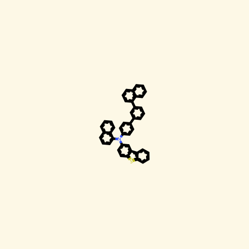 c1cc(-c2ccc(N(c3ccc4sc5ccccc5c4c3)c3cccc4ccccc34)cc2)cc(-c2cccc3ccccc23)c1